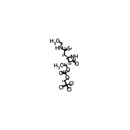 CCNC(=S)C[C@H]1NC(=O)[C@@H]1C(C)OC(=O)OCC(Cl)(Cl)Cl